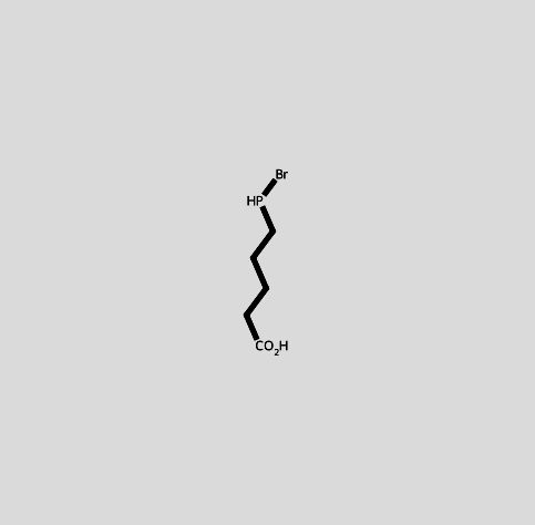 O=C(O)CCCCPBr